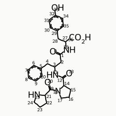 O=C(CC(Cc1ccccc1)NC(=O)C1CCCN1C(=O)C1CCCN1)NC(Cc1ccc(O)cc1)C(=O)O